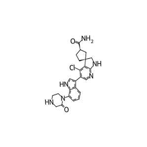 NC(=O)[C@@H]1CC[C@]2(CNc3ncc(-c4c[nH]c5c(N6CCNCC6=O)cccc45)c(Cl)c32)C1